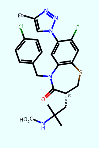 CCc1cn(-c2cc3c(cc2F)SC[C@H](CC(C)(C)NC(=O)O)C(=O)N3Cc2ccc(Cl)cc2)nn1